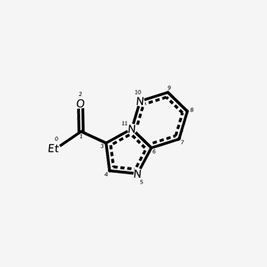 CCC(=O)c1cnc2cccnn12